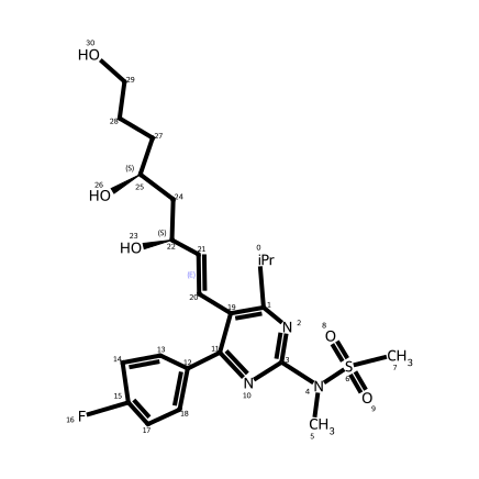 CC(C)c1nc(N(C)S(C)(=O)=O)nc(-c2ccc(F)cc2)c1/C=C/[C@@H](O)C[C@@H](O)CCCO